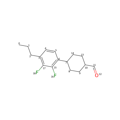 CCCc1ccc(C2CCC(C=O)CC2)c(F)c1F